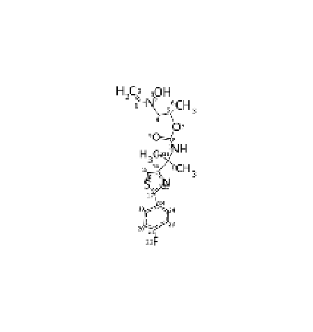 C=CN(O)C[C@H](C)OC(=O)NC(C)(C)c1csc(-c2ccc(F)cc2)n1